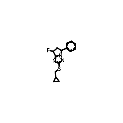 FC1CC(c2ccccc2)n2nc(SCC3CC3)nc21